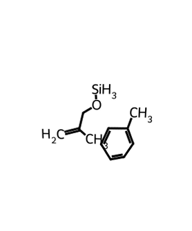 C=C(C)CO[SiH3].Cc1ccccc1